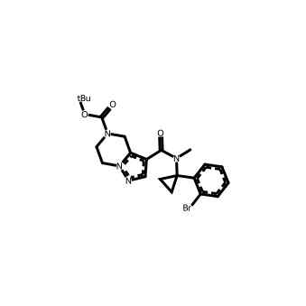 CN(C(=O)c1cnn2c1CN(C(=O)OC(C)(C)C)CC2)C1(c2ccccc2Br)CC1